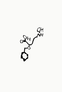 O=C(O)C(CCNO)OCc1ccccc1